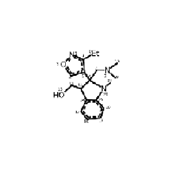 CCc1nocc1C1(CN(C)C)C(CO)c2ccccc2N1C